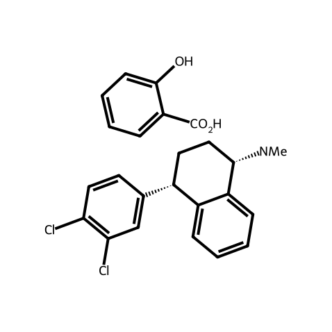 CN[C@H]1CC[C@@H](c2ccc(Cl)c(Cl)c2)c2ccccc21.O=C(O)c1ccccc1O